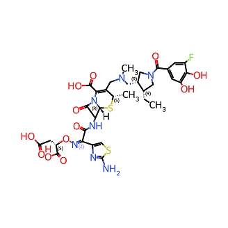 CC[C@H]1CN(C(=O)c2cc(O)c(O)c(F)c2)C[C@H]1CN(C)CC1=C(C(=O)O)N2C(=O)C(NC(=O)/C(=N\O[C@@H](CC(=O)O)C(=O)O)c3csc(N)n3)[C@H]2S[C@H]1C